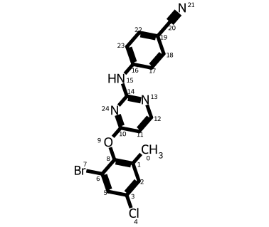 Cc1cc(Cl)cc(Br)c1Oc1ccnc(Nc2ccc(C#N)cc2)n1